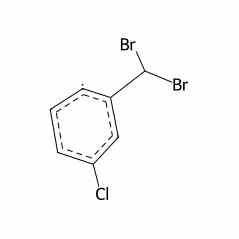 Clc1cc[c]c(C(Br)Br)c1